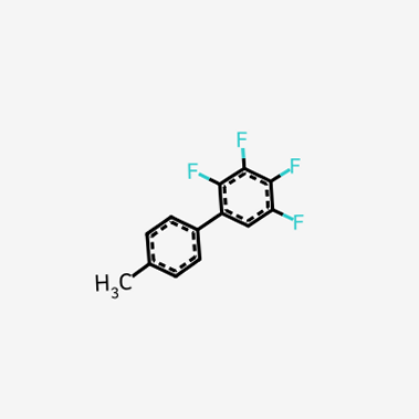 Cc1ccc(-c2cc(F)c(F)c(F)c2F)cc1